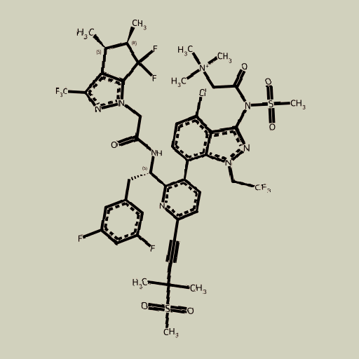 C[C@@H]1c2c(C(F)(F)F)nn(CC(=O)N[C@@H](Cc3cc(F)cc(F)c3)c3nc(C#CC(C)(C)S(C)(=O)=O)ccc3-c3ccc(Cl)c4c(N(C(=O)C[N+](C)(C)C)S(C)(=O)=O)nn(CC(F)(F)F)c34)c2C(F)(F)[C@@H]1C